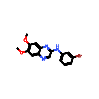 COc1cc2ncc(Nc3cccc(Br)c3)nc2cc1OC